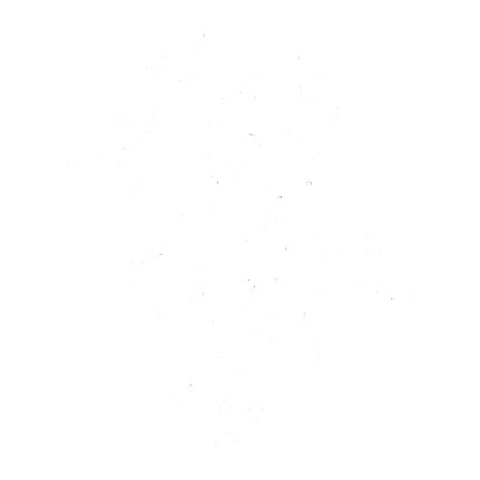 Cc1cc2c3c(c1)N(c1ccc(C(C)(C)C)cc1-c1ccccc1)c1c(oc4c1C(C)(C)CCC4(C)C)B3c1ccc(C(C)(C)C)cc1N2c1cc(C(C)(C)C)cc(C(C)(C)C)c1